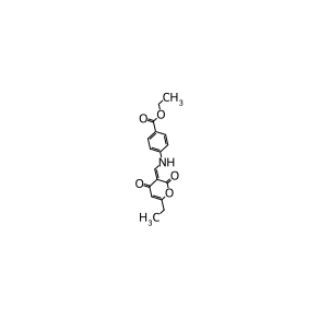 CCOC(=O)c1ccc(NC=C2C(=O)C=C(CC)OC2=O)cc1